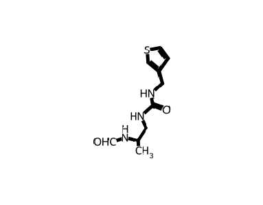 CC(CNC(=O)NCc1ccsc1)NC=O